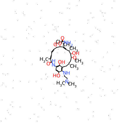 CO[C@H]1/C=C\C=C(/C)C(=O)Nc2cc(O)c(NCCN(C)C)c(c2O)C[C@@H](C)C[C@H](OC)[C@H](O)[C@@H](C)/C=C(\C)[C@@H]1OC(N)=O